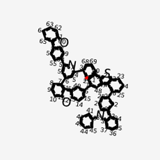 c1ccc(-c2cc(-c3cccc4oc5ccc(-c6ccc7sc8cccc(-c9ccc%10c(c9)c9ccccc9n%10-c9ccccc9)c8c7c6)cc5c34)cc(-c3ccc4c(c3)oc3ccccc34)n2)cc1